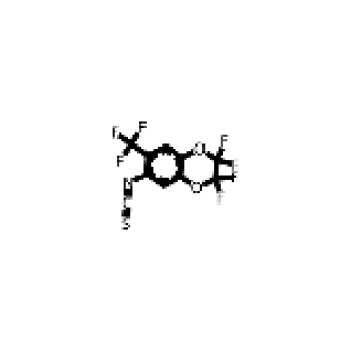 FC(F)(F)c1cc2c(cc1N=C=S)OC(F)(F)C(F)(F)O2